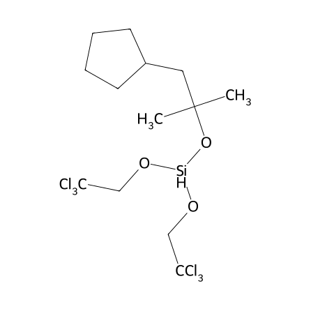 CC(C)(CC1CCCC1)O[SiH](OCC(Cl)(Cl)Cl)OCC(Cl)(Cl)Cl